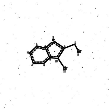 BrCc1sc2ccccc2c1Br